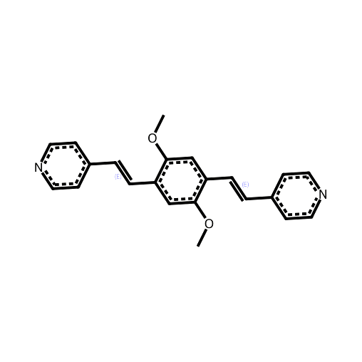 COc1cc(/C=C/c2ccncc2)c(OC)cc1/C=C/c1ccncc1